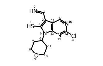 N=Cc1c(S)n(C2CCOCC2)c2nc(Cl)ncc12